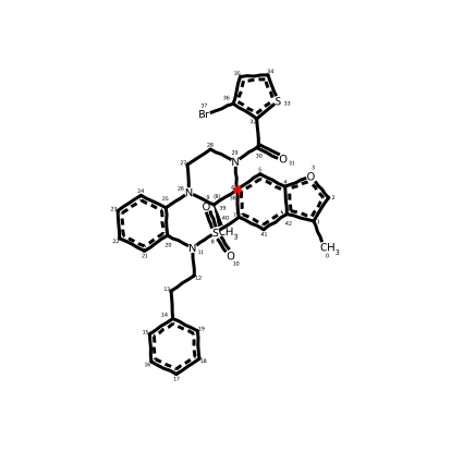 Cc1coc2ccc(S(=O)(=O)N(CCc3ccccc3)c3ccccc3N3CCN(C(=O)c4sccc4Br)C[C@H]3C)cc12